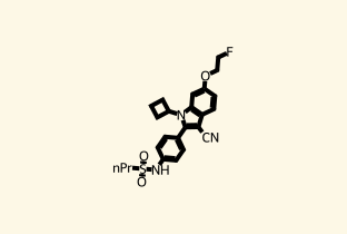 CCCS(=O)(=O)Nc1ccc(-c2c(C#N)c3ccc(OCCF)cc3n2C2CCC2)cc1